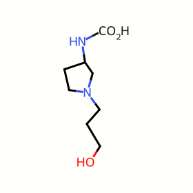 O=C(O)NC1CCN(CCCO)C1